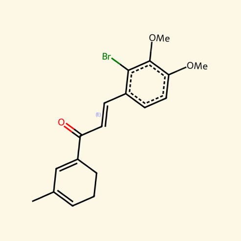 COc1ccc(/C=C/C(=O)C2=CC(C)=CCC2)c(Br)c1OC